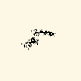 CN(C)c1cc(/C(=N/N)NN)ccc1OC[C@@H](C=O)NC(=O)c1cc(Cc2ccccc2)on1